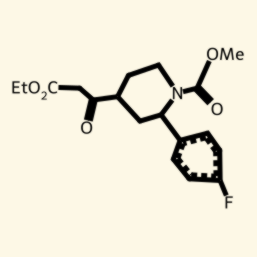 CCOC(=O)CC(=O)C1CCN(C(=O)OC)C(c2ccc(F)cc2)C1